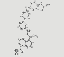 CNC(=O)c1ccnc2c(C(C)CNc3cc(-c4ccc(CC5CCN(CC(F)F)CC5)nc4)ncn3)cccc12